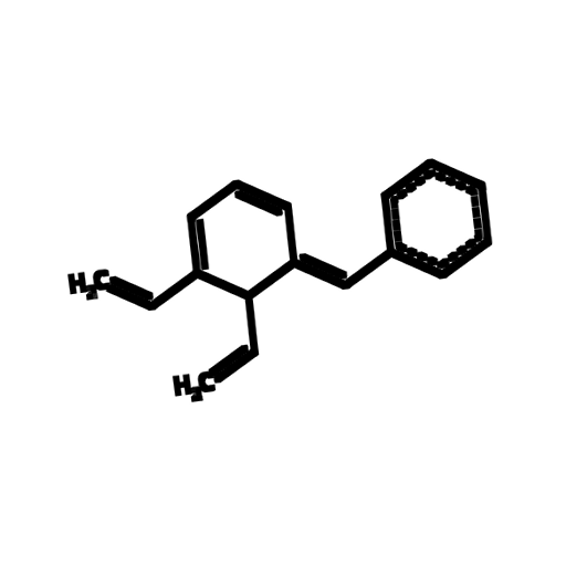 C=CC1=CC=CC(=Cc2ccccc2)C1C=C